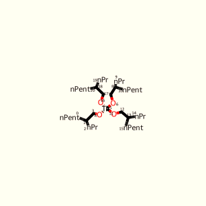 CCCCCC(CCC)C[O][Ti]([O]CC(CCC)CCCCC)([O]CC(CCC)CCCCC)[O]CC(CCC)CCCCC